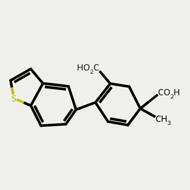 CC1(C(=O)O)C=CC(c2ccc3sccc3c2)=C(C(=O)O)C1